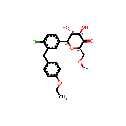 CCOc1ccc(Cc2cc([C@@H]3O[C@H](COC)C(=O)[C@H](O)[C@H]3O)ccc2Cl)cc1